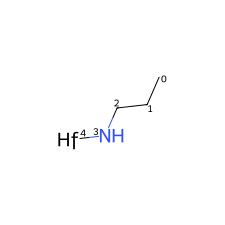 CCC[NH][Hf]